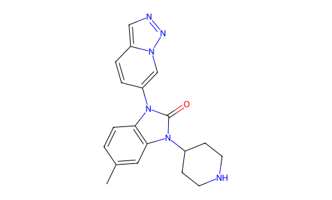 Cc1ccc2c(c1)n(C1CCNCC1)c(=O)n2-c1ccc2cnnn2c1